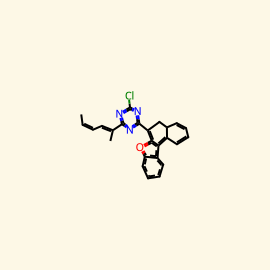 C/C=C\C=C(/C)c1nc(Cl)nc(C2=c3oc4ccccc4c3=C3C=CC=CC3C2)n1